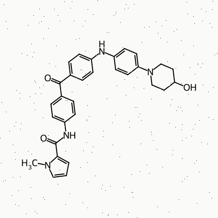 Cn1cccc1C(=O)Nc1ccc(C(=O)c2ccc(Nc3ccc(N4CCC(O)CC4)cc3)cc2)cc1